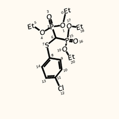 CCOP(=O)(OCC)C(Sc1ccc(Cl)cc1)P(=O)(OCC)OCC